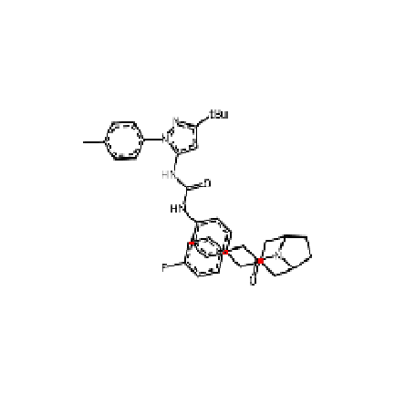 Cc1ccc(-n2nc(C(C)(C)C)cc2NC(=O)Nc2ccc(CC3CC4CCC(C3)N4C(=O)Cc3ccc(F)cc3)cc2)cc1